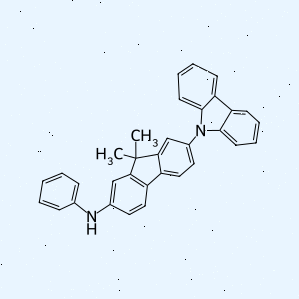 CC1(C)c2cc(Nc3ccccc3)ccc2-c2ccc(-n3c4ccccc4c4ccccc43)cc21